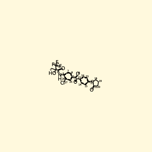 CC(O)(C(=O)Nc1ccc(S(=O)(=O)c2ccc(N3CCCC3=O)cc2)cc1Cl)C(F)(F)F